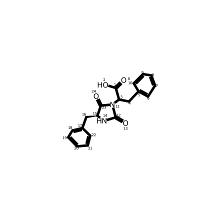 O=C(O)C(Cc1ccccc1)N1C(=O)N[C@@H](Cc2ccccc2)C1=O